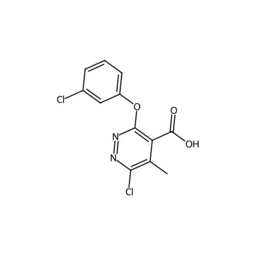 Cc1c(Cl)nnc(Oc2cccc(Cl)c2)c1C(=O)O